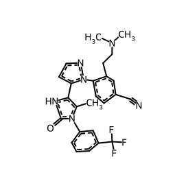 Cc1c(-c2ccnn2-c2ccc(C#N)cc2CCN(C)C)[nH]c(=O)n1-c1cccc(C(F)(F)F)c1